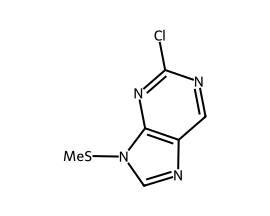 CSn1cnc2cnc(Cl)nc21